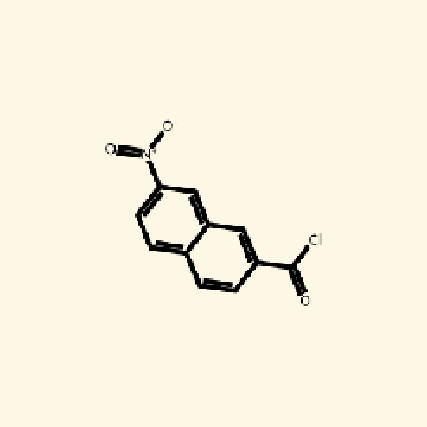 O=C(Cl)c1ccc2ccc([N+](=O)[O-])cc2c1